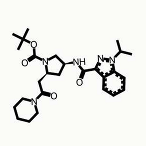 CC(C)n1nc(C(=O)N[C@H]2C[C@@H](CC(=O)N3CCCCC3)N(C(=O)OC(C)(C)C)C2)c2ccccc21